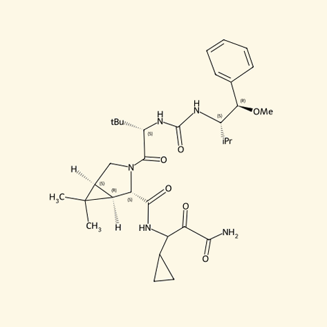 CO[C@H](c1ccccc1)[C@@H](NC(=O)N[C@H](C(=O)N1C[C@H]2[C@@H]([C@H]1C(=O)NC(C(=O)C(N)=O)C1CC1)C2(C)C)C(C)(C)C)C(C)C